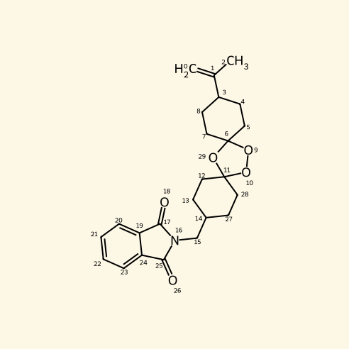 C=C(C)C1CCC2(CC1)OOC1(CCC(CN3C(=O)c4ccccc4C3=O)CC1)O2